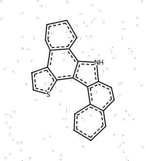 c1ccc2c(c1)ccc1[nH]c3c4ccccc4c4ccsc4c3c12